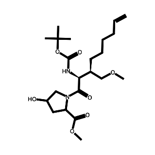 C=CCCCC[C@@H](COC)[C@H](NC(=O)OC(C)(C)C)C(=O)N1CC(O)CC1C(=O)OC